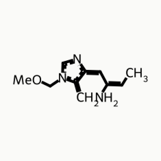 C=c1/c(=C\C(N)=C/C)ncn1COC